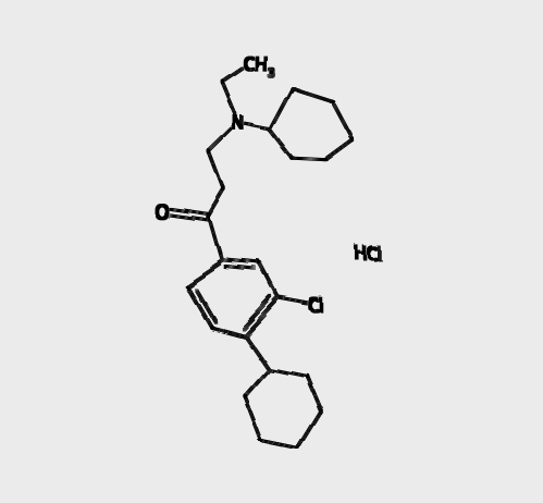 CCN(CCC(=O)c1ccc(C2CCCCC2)c(Cl)c1)C1CCCCC1.Cl